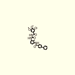 COc1cc(C(=O)NC(=O)Nc2cccc(NC(=O)c3ccc(-c4ccccc4)cc3)c2C)cc(OC)c1OC